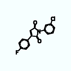 O=C1C=C(c2ccc(F)cc2)C(=O)N1c1cccc(Cl)c1